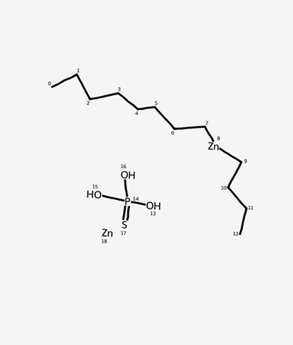 CCCCCCC[CH2][Zn][CH2]CCC.OP(O)(O)=S.[Zn]